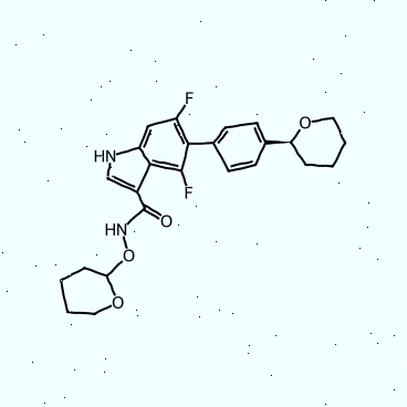 O=C(NOC1CCCCO1)c1c[nH]c2cc(F)c(-c3ccc([C@@H]4CCCCO4)cc3)c(F)c12